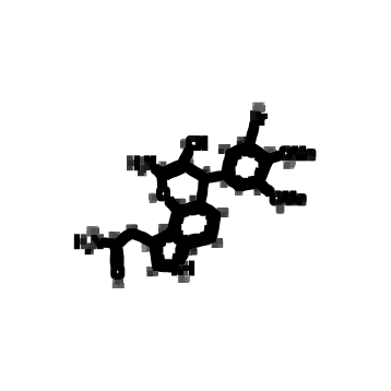 COc1cc(C2C(C#N)=C(N)Oc3c2ccc2[nH]cc(CC(N)=O)c32)cc(Br)c1OC